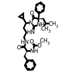 COC(=O)N[C@@H](Cc1ccccc1)C(=O)NCCCC(C1CC1)N1C(=N)N[C@@](CC(C)C)(c2ccccc2)C1=O